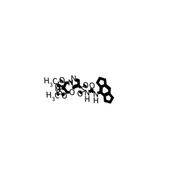 CS(=O)(=O)C1(S(C)(=O)=O)COc2c(S(=O)(=O)NC(=O)Nc3c4c(cc5c3CCC5)CCC4)cnn2C1